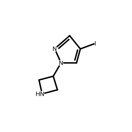 Ic1cnn(C2CNC2)c1